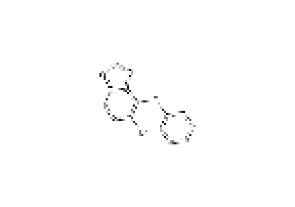 Brc1ccc2ocnc2c1Oc1ccccc1